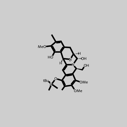 COc1c(C)cc2c(c1O)[C@@H]1C3=Cc4c(O[Si](C)(C)C(C)(C)C)c(C)c(OC)c(OC)c4[C@H](CO)N3[C@@H](O)[C@H](C2)N1C